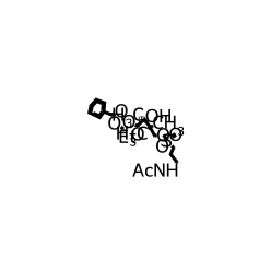 CCC(OC(=O)c1ccccc1)OC(=O)[C@](C)(O)C(C)(C)COS(=O)(=O)CCCNC(C)=O